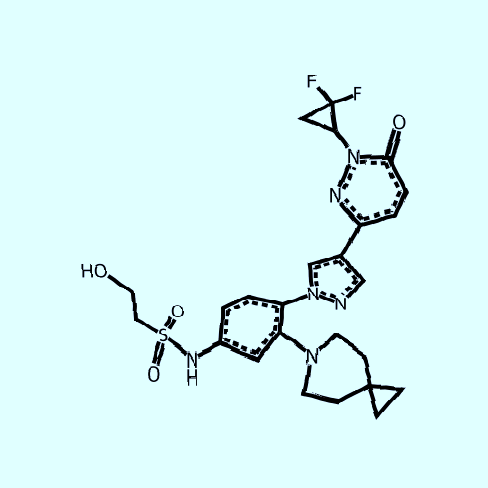 O=c1ccc(-c2cnn(-c3ccc(NS(=O)(=O)CCO)cc3N3CCC4(CC3)CC4)c2)nn1C1CC1(F)F